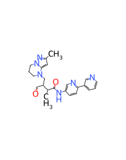 Cc1cc2n(n1)CCCN2CC(C=O)C(C)C(=O)Nc1ccc(-c2cccnc2)nc1